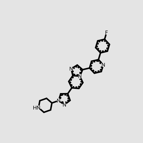 Fc1ccc(-c2cc(-c3cnc4cc(-c5cnn(C6CCNCC6)c5)ccn34)ccn2)cc1